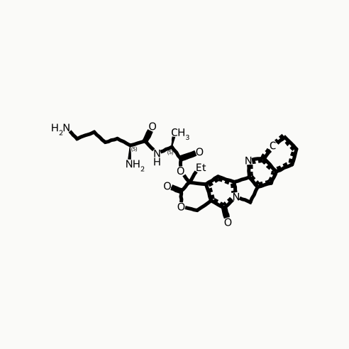 CCC1(OC(=O)[C@H](C)NC(=O)[C@@H](N)CCCCN)C(=O)OCc2c1cc1n(c2=O)Cc2cc3ccccc3nc2-1